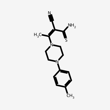 C/C(=C(\C#N)C(N)=S)N1CCN(c2ccc(C)cc2)CC1